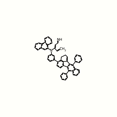 C=C/C(=C\C=N)N(c1cccc(-c2ccc3c4c2CCC=C4c2c-3c(-c3ccccc3)c3ccccc3c2-c2ccccc2)c1)c1cc2ccccc2c2ccccc12